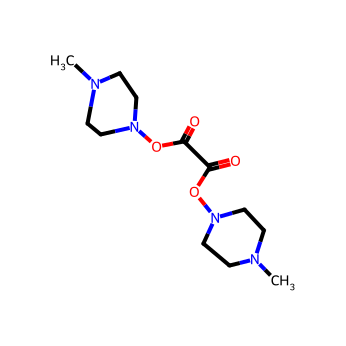 CN1CCN(OC(=O)C(=O)ON2CCN(C)CC2)CC1